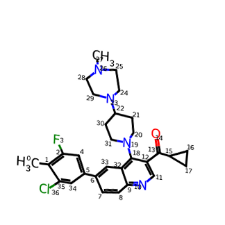 Cc1c(F)cc(-c2ccc3ncc(C(=O)C4CC4)c(N4CCC(N5CCN(C)CC5)CC4)c3c2)cc1Cl